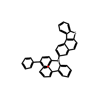 c1ccc(-c2ccc(N(c3ccc4c(ccc5sc6ccccc6c54)c3)c3ccccc3-c3ccccc3)cc2)cc1